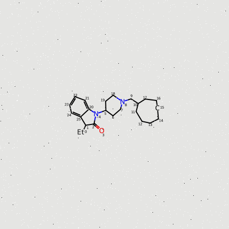 CCC1C(=O)N(C2CCN(CC3CCCCCCC3)CC2)c2ccccc21